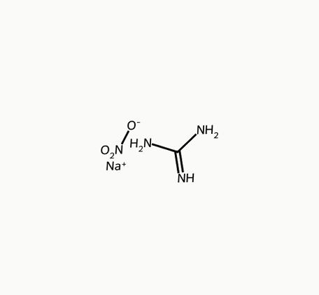 N=C(N)N.O=[N+]([O-])[O-].[Na+]